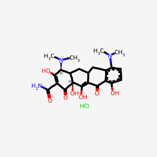 CN(C)c1ccc(O)c2c1CC1CC3[C@H](N(C)C)C(O)=C(C(N)=O)C(=O)[C@@]3(O)C(O)=C1C2=O.Cl